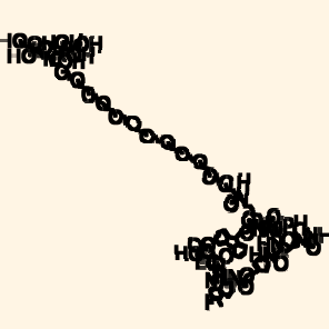 CC[C@@]1(O)C(=O)OCc2c1cc1n(c2=O)Cc2c-1nc1cc(F)c(C)c3c1c2[C@@H](NC(=O)OCc1ccc(NC(=O)[C@H](CCCNC(N)=O)NC(=O)[C@@H](NC(=O)[C@H](CCCCNC(=O)CCOCCOCCOCCOCCOCCOCCOCCOCCOCCOCCOCCOCCN(C[C@H](O)[C@@H](O)[C@H](O)CO)C[C@H](O)[C@@H](O)[C@H](O)CO)NC(=O)OCC2c4ccccc4-c4ccccc42)C(C)C)cc1)CC3